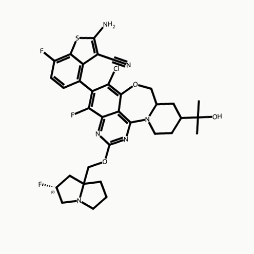 CC(C)(O)C1CCN2c3nc(OCC45CCCN4C[C@H](F)C5)nc4c(F)c(-c5ccc(F)c6sc(N)c(C#N)c56)c(Cl)c(c34)OCC2C1